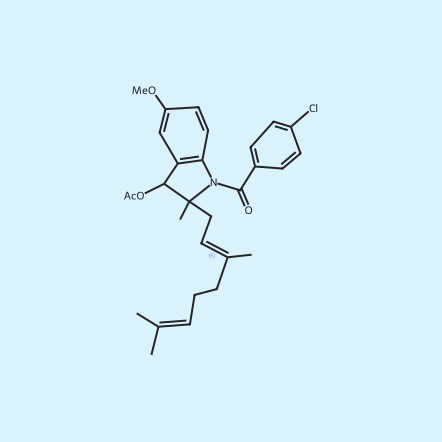 COc1ccc2c(c1)C(OC(C)=O)C(C)(C/C=C(\C)CCC=C(C)C)N2C(=O)c1ccc(Cl)cc1